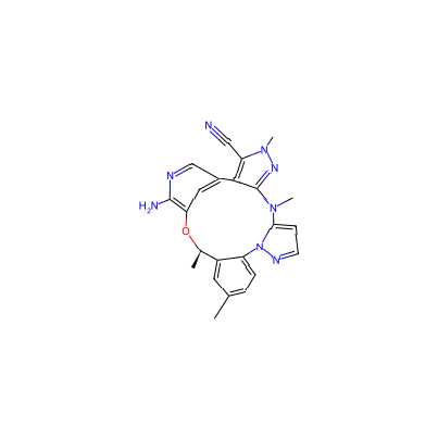 Cc1ccc2c(c1)[C@@H](C)Oc1cc(cnc1N)-c1c(nn(C)c1C#N)N(C)c1ccnn1-2